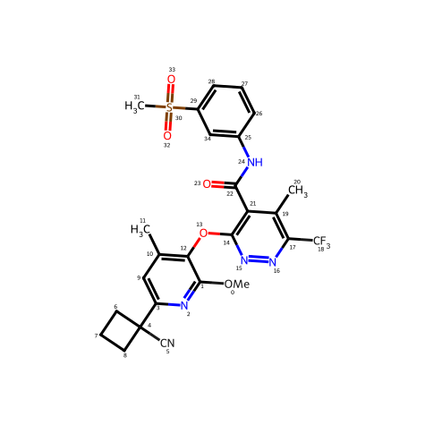 COc1nc(C2(C#N)CCC2)cc(C)c1Oc1nnc(C(F)(F)F)c(C)c1C(=O)Nc1cccc(S(C)(=O)=O)c1